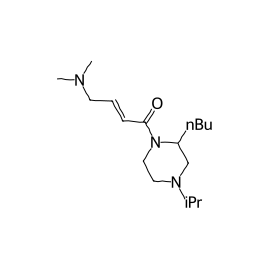 CCCCC1CN(C(C)C)CCN1C(=O)/C=C/CN(C)C